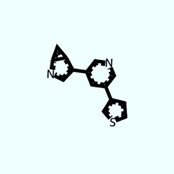 c1cc(-c2cncc(-c3cnc4cc3-4)c2)cs1